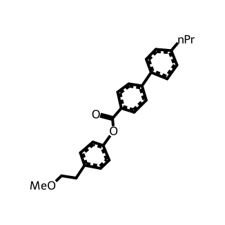 CCCc1ccc(-c2ccc(C(=O)Oc3ccc(CCOC)cc3)cc2)cc1